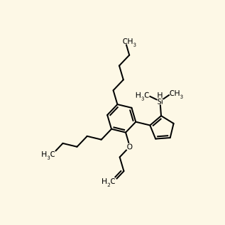 C=CCOc1c(CCCCC)cc(CCCCC)cc1C1=C([SiH](C)C)CC=C1